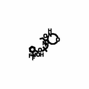 CCc1nn(CC(C)(C)COC(O)c2ccccc2C(F)(F)F)c2c1C(=O)NCCCOCCC2